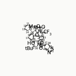 COC(=O)N(C(=O)[C@@H](N)C(c1ccccc1)c1ccccc1)[C@H](c1ccc([C@@H](CO)N(CCC(C)(C)C)S(=O)(=O)c2ccc3scnc3c2)s1)C(F)(F)F